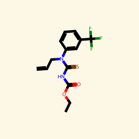 C=CCN(C(=S)NC(=O)OCC)c1cccc(C(F)(F)F)c1